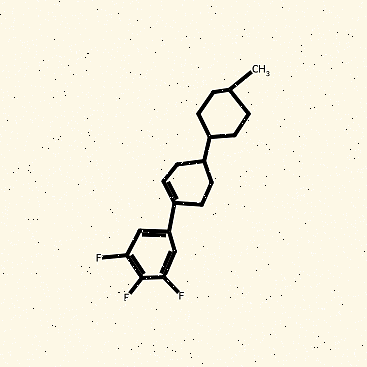 CC1CCC(C2CC=C(c3cc(F)c(F)c(F)c3)CC2)CC1